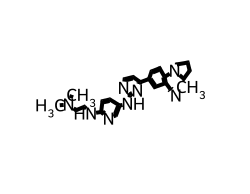 C[C@H]1CCCN1c1ccc(-c2ccnc(Nc3ccc(NCCN(C)C)nc3)n2)cc1C#N